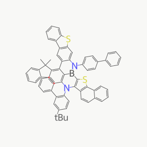 CC(C)(C)c1ccc(N2c3cc4c(c5c3B(c3sc6c(ccc7ccccc76)c32)N(c2ccc(-c3ccccc3)cc2)c2cc3sc6ccccc6c3cc2-5)C(C)(C)c2ccccc2-4)c(-c2ccccc2)c1